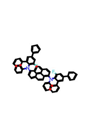 Fc1cc(-c2ccccc2)cc(C2=CCCC=C2)c1N(c1ccccc1)c1ccc2ccc3c(N(c4ccccc4)c4c(F)cc(-c5ccccc5)cc4-c4ccccc4)ccc4ccc1c2c43